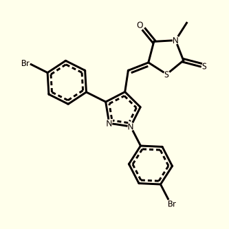 CN1C(=O)/C(=C/c2cn(-c3ccc(Br)cc3)nc2-c2ccc(Br)cc2)SC1=S